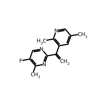 C=C(c1ncc(F)c(C)n1)c1cc(C)cnc1C